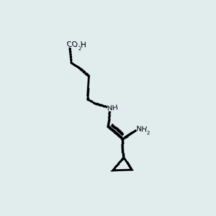 N/C(=C\NCCCC(=O)O)C1CC1